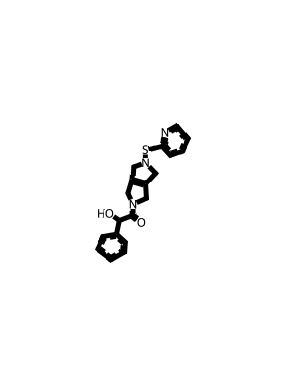 O=C(C(O)c1ccccc1)N1CC2=C(CN(Sc3ccccn3)C2)C1